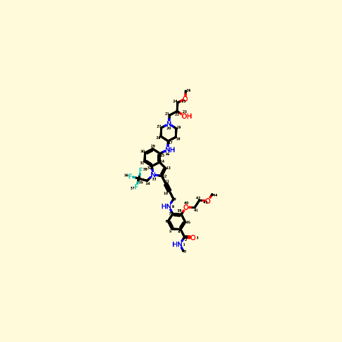 CNC(=O)c1ccc(NCC#Cc2cc3c(NC4CCN(CC(O)COC)CC4)cccc3n2CC(F)(F)F)c(OCCOC)c1